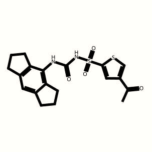 CC(=O)c1csc(S(=O)(=O)NC(=O)Nc2c3c(cc4c2CCC4)CCC3)c1